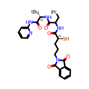 CC(C)CC(NC(=O)[C@@H](S)CCCN1C(=O)c2ccccc2C1=O)C(=O)N[C@H](C(=O)Nc1ccccn1)C(C)(C)C